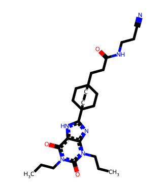 CCCn1c(=O)c2[nH]c(C34CCC(CCC(=O)NCCC#N)(CC3)CC4)nc2n(CCC)c1=O